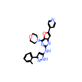 Cc1ccccc1-c1cc(Nc2nc(N3CCOCC3)c3oc(-c4ccncc4)cc3n2)[nH]n1